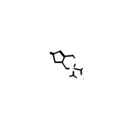 CC(C)[Si]1(C(C)C)CC2CC(=O)C=C2CO1